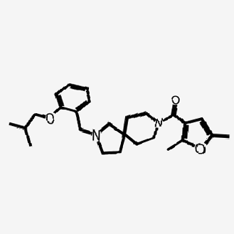 Cc1cc(C(=O)N2CCC3(CCN(Cc4ccccc4OCC(C)C)C3)CC2)c(C)o1